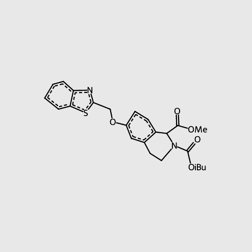 COC(=O)C1c2ccc(OCc3nc4ccccc4s3)cc2CCN1C(=O)OCC(C)C